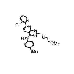 CCC(C)c1ccc(Nc2nc(COCCOC)nc3nc(-c4ncccc4Cl)ccc23)cc1